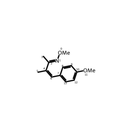 CON=C(C)C(C)=Cc1ccc(OC)cc1